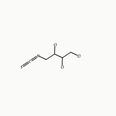 S=C=NCC(Cl)C(Cl)CCl